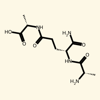 C[C@H](N)C(=O)N[C@H](CCC(=O)N[C@@H](C)C(=O)O)C(N)=O